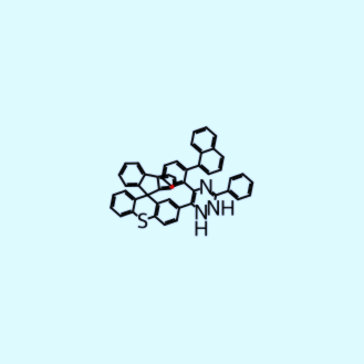 c1ccc(C2=NC(c3ccccc3-c3cccc4ccccc34)=C(c3ccc4c(c3)C3(c5ccccc5S4)c4ccccc4-c4ccccc43)NN2)cc1